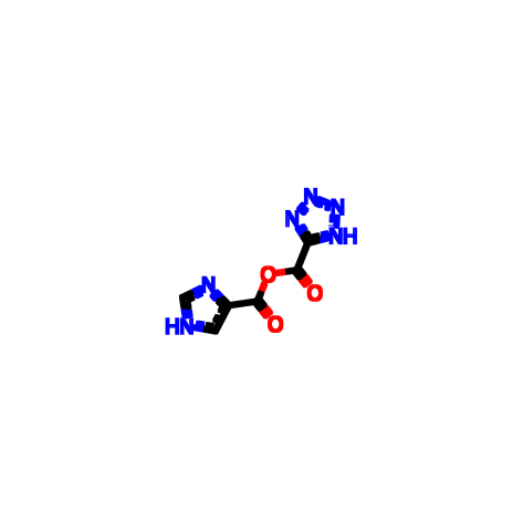 O=C(OC(=O)c1nnn[nH]1)c1c[nH]cn1